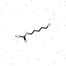 NC(=O)OCCCCCCl